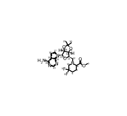 COC(=O)C1CCC(F)(F)CN1C[C@H]1O[C@@H](n2ccc3c(N)ncnc32)[C@@H]2OC(C)(C)O[C@@H]21